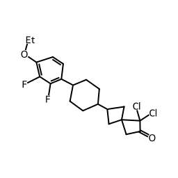 CCOc1ccc(C2CCC(C3CC4(CC(=O)C4(Cl)Cl)C3)CC2)c(F)c1F